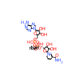 NC(=O)c1ccc[n+]([C@@H]2O[C@H](COP(=O)(O)OP(=O)(O)OC[C@H]3O[C@@H](n4cnc5c(N)ncnc54)[C@H](O)[C@@H]3O)[C@@H](O)[C@H]2O)c1.[NaH].[NaH]